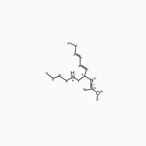 CCC=CC=CC(CNCCCC)/N=C(\C)OC